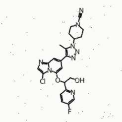 Cc1c(-c2cc(OC(CO)c3ccc(F)cn3)n3c(Cl)cnc3c2)nnn1C1CCN(C#N)CC1